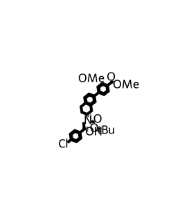 COC(=O)c1ccc(-c2ccc3c(c2)C[C@@H](N(C[C@H](O)c2ccc(Cl)cc2)C(=O)OC(C)(C)C)CC3)cc1OC